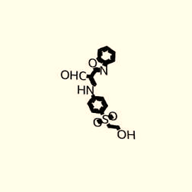 O=C/C(=C\Nc1ccc(S(=O)(=O)CCO)cc1)c1nc2ccccc2o1